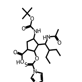 CCC(CC)C(NC(C)=O)C1C(NC(=O)OC(C)(C)C)CC(C(=O)O)C1OC(=S)n1ccnc1